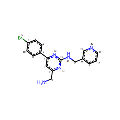 NCc1cc(-c2ccc(Br)cc2)nc(NCc2cccnc2)n1